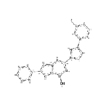 Cc1cccc(-c2ccn(-c3nc(O)c4oc(-c5ccccn5)cc4n3)n2)c1